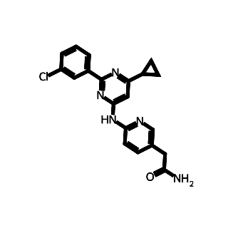 NC(=O)Cc1ccc(Nc2cc(C3CC3)nc(-c3cccc(Cl)c3)n2)nc1